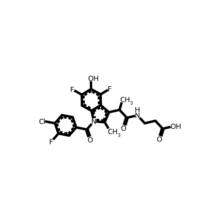 Cc1c(C(C)C(=O)NCCC(=O)O)c2c(F)c(O)c(F)cc2n1C(=O)c1ccc(Cl)c(F)c1